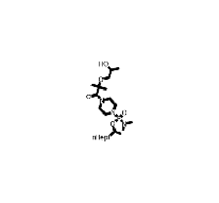 CCCCCCCC(C)OP(=O)(N(C)C)N1CCN(C(=O)C(C)(C)OCC(C)O)CC1